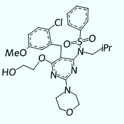 COc1ccc(Cl)c(Cc2c(OCCO)nc(N3CCOCC3)nc2N(CC(C)C)S(=O)(=O)c2ccccc2)c1